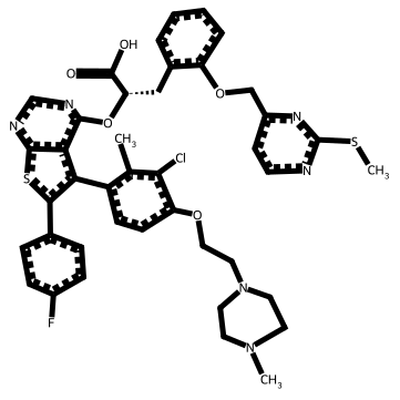 CSc1nccc(COc2ccccc2C[C@H](Oc2ncnc3sc(-c4ccc(F)cc4)c(-c4ccc(OCCN5CCN(C)CC5)c(Cl)c4C)c23)C(=O)O)n1